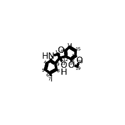 O=C1Nc2ccc(I)cc2C1(O)c1cccc2c1OCO2